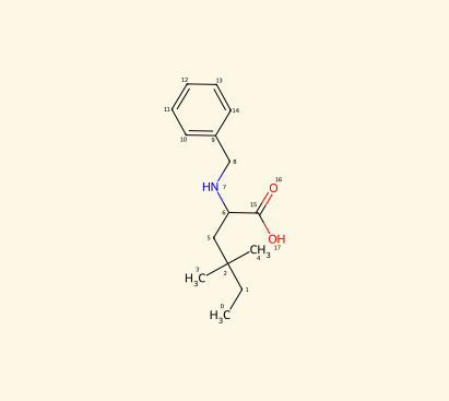 CCC(C)(C)CC(NCc1ccccc1)C(=O)O